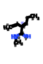 C=C/C(=C\CC)C(=N)NC